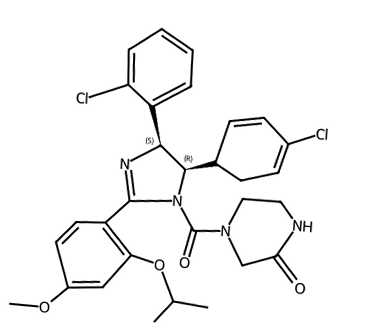 COc1ccc(C2=N[C@@H](c3ccccc3Cl)[C@@H](C3C=CC(Cl)=CC3)N2C(=O)N2CCNC(=O)C2)c(OC(C)C)c1